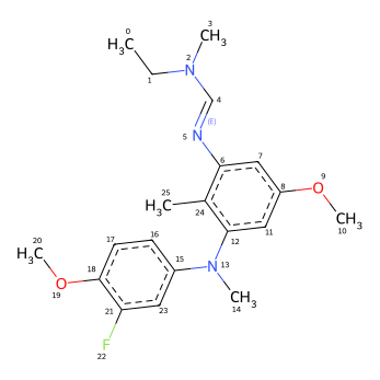 CCN(C)/C=N/c1cc(OC)cc(N(C)c2ccc(OC)c(F)c2)c1C